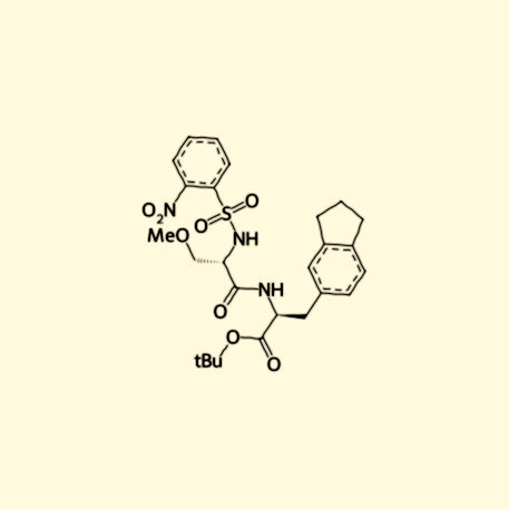 COC[C@H](NS(=O)(=O)c1ccccc1[N+](=O)[O-])C(=O)N[C@@H](Cc1ccc2c(c1)CCC2)C(=O)OC(C)(C)C